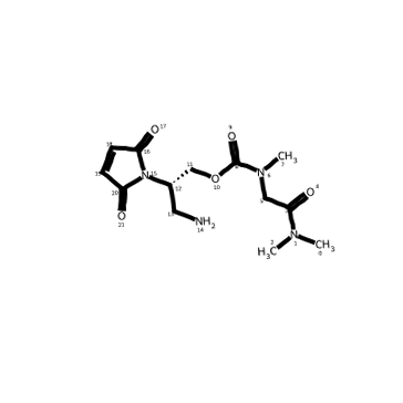 CN(C)C(=O)CN(C)C(=O)OC[C@H](CN)N1C(=O)C=CC1=O